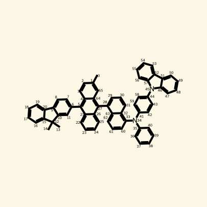 Cc1ccc2c(-c3ccc4c(c3)C(C)(C)c3ccccc3-4)c3ccccc3c(-c3cccc4c(N(c5ccccc5)c5ccc(-n6c7ccccc7c7ccccc76)cc5)cccc34)c2c1